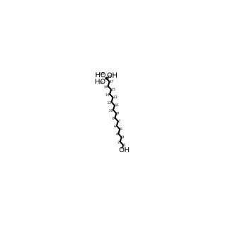 OCCCCCCCCCCCCCCCCCC(O)(O)O